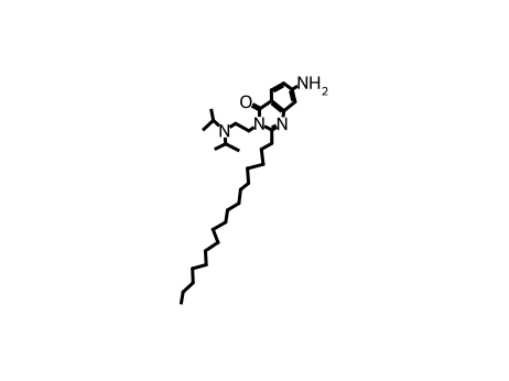 CCCCCCCCCCCCCCCCCc1nc2cc(N)ccc2c(=O)n1CCN(C(C)C)C(C)C